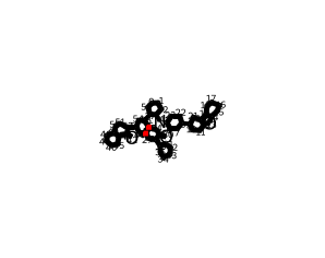 c1ccc(N(c2ccc(-c3ccc4oc5ccccc5c4c3)cc2)c2cccc3c2oc2ccccc23)c(-c2ccc3oc4c5ccccc5ccc4c3c2)c1